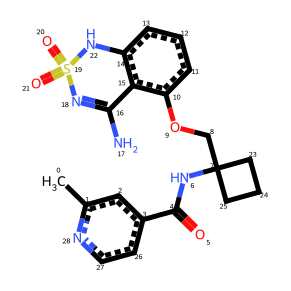 Cc1cc(C(=O)NC2(COc3cccc4c3C(N)=NS(=O)(=O)N4)CCC2)ccn1